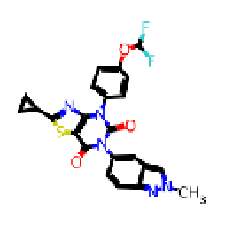 Cn1cc2cc(-n3c(=O)c4sc(C5CC5)nc4n(-c4ccc(OC(F)F)cc4)c3=O)ccc2n1